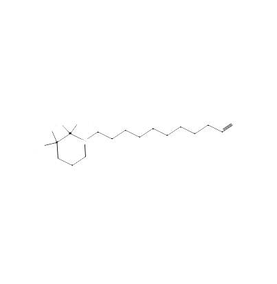 C=CCCCCCCCCCN1CCCC(C)(C)C1(C)C